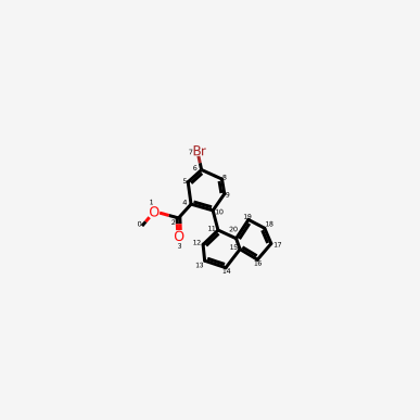 COC(=O)c1cc(Br)ccc1-c1cccc2ccccc12